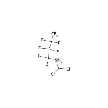 FC(F)(F)C(F)(F)C(F)(F)C(F)(F)[SiH2]C(Cl)Cl